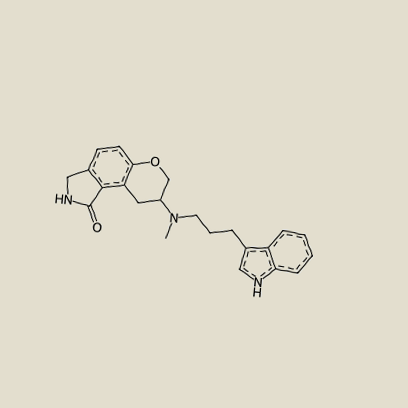 CN(CCCc1c[nH]c2ccccc12)C1COc2ccc3c(c2C1)C(=O)NC3